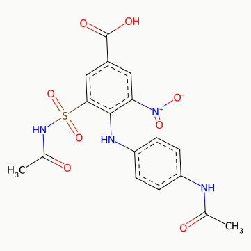 CC(=O)Nc1ccc(Nc2c([N+](=O)[O-])cc(C(=O)O)cc2S(=O)(=O)NC(C)=O)cc1